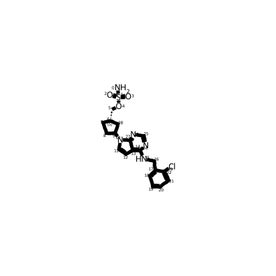 NS(=O)(=O)OC[C@H]1CCC(n2ccc3c(NCc4ccccc4Cl)ncnc32)C1